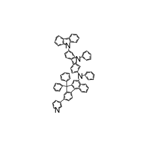 c1ccc(N(c2ccc3c4ccc(-n5c6ccccc6c6ccccc65)cc4n(-c4ccccc4)c3c2)c2cc3c(c4ccccc24)-c2ccc(-c4cccnc4)cc2C3(c2ccccc2)c2ccccc2)cc1